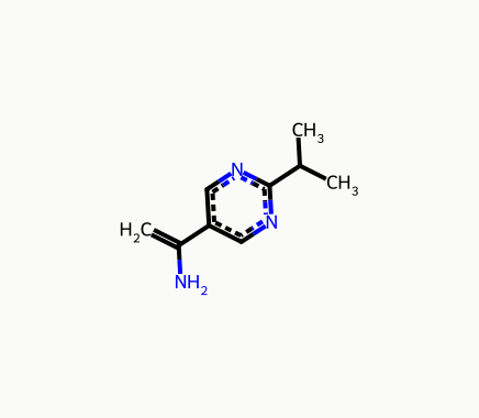 C=C(N)c1cnc(C(C)C)nc1